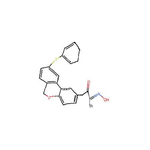 CCC/C(=N\O)C(=O)c1ccc2c(c1)-c1cc(SC3=CCCC=C3)ccc1CO2